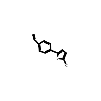 C=Cc1ccc(-c2ccc(Cl)s2)cc1